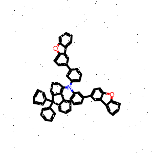 c1ccc(C2(c3ccccc3)c3ccccc3-c3c(N(c4cccc(-c5ccc6oc7ccccc7c6c5)c4)c4cccc(-c5ccc6oc7ccccc7c6c5)c4)cccc32)cc1